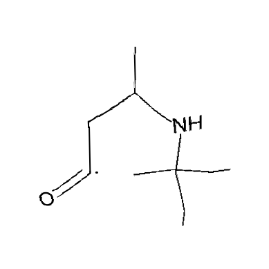 CC(C[C]=O)NC(C)(C)C